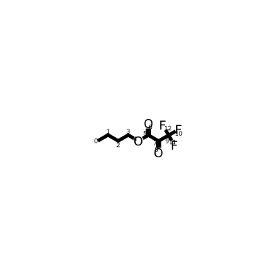 CCCCOC(=O)C(=O)C(F)(F)F